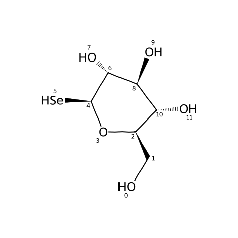 OC[C@H]1O[C@@H]([SeH])[C@H](O)[C@@H](O)[C@@H]1O